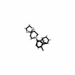 Cc1ccc(N2CCC3(CC2)OCCO3)c2c1C1CCC2CC1